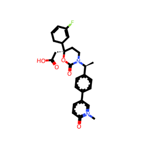 C[C@@H](c1ccc(-c2ccc(=O)n(C)c2)cc1)N1CC[C@](CC(=O)O)(C2C=C(F)C=CC2)OC1=O